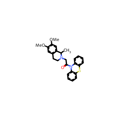 COc1cc2c(cc1OC)C(C)N(CC(=O)N1c3ccccc3Sc3ccccc31)CC2